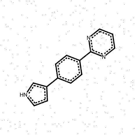 c1cnc(-c2ccc(-c3cc[nH]c3)cc2)nc1